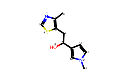 Cc1ncsc1CC(O)c1ccn(C)c1